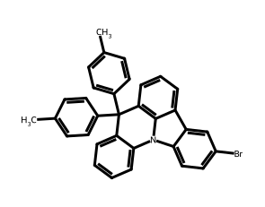 Cc1ccc(C2(c3ccc(C)cc3)c3ccccc3-n3c4ccc(Br)cc4c4cccc2c43)cc1